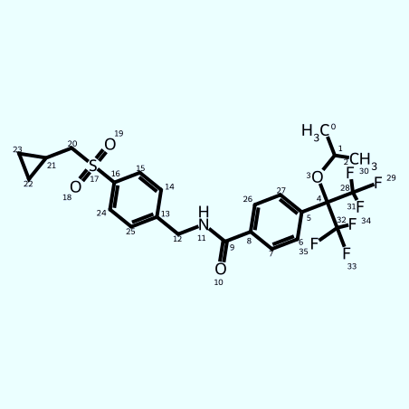 CC(C)OC(c1ccc(C(=O)NCc2ccc(S(=O)(=O)CC3CC3)cc2)cc1)(C(F)(F)F)C(F)(F)F